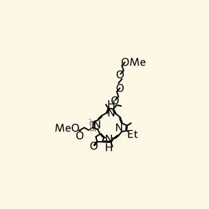 CCC1=C(C)c2cc3[nH]c(cc4nc(c5c6[nH]c(cc1n2)c(C)c6C(=O)C5)[C@@H](CCC(=O)OC)[C@@H]4C)c(C)c3C(C)OCCOCCOCCOC